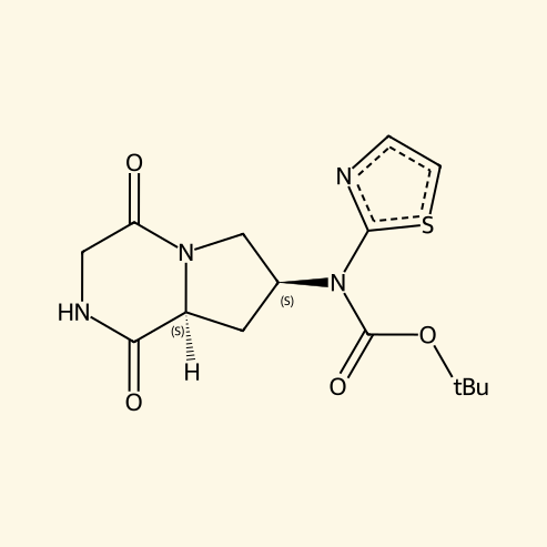 CC(C)(C)OC(=O)N(c1nccs1)[C@H]1C[C@H]2C(=O)NCC(=O)N2C1